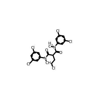 CN(C(=O)C(CCCl)C(=O)N(C)c1cc(Cl)cc(Cl)c1)c1cc(Cl)cc(Cl)c1